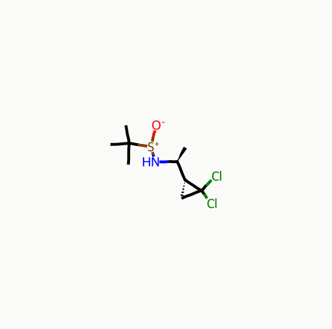 C[C@H](N[S+]([O-])C(C)(C)C)[C@H]1CC1(Cl)Cl